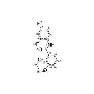 O=C(Nc1ccc(F)cc1F)c1cccc2c1OCCO2